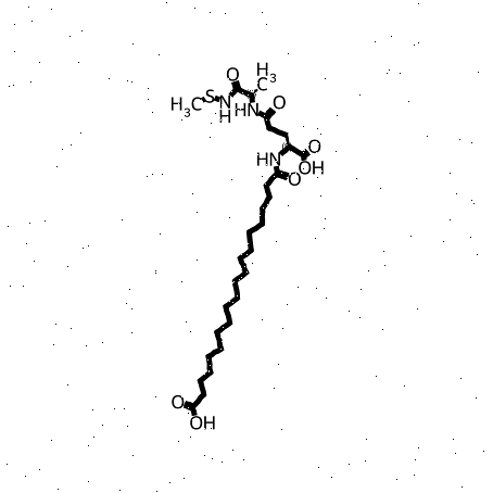 CSNC(=O)[C@H](C)NC(=O)CC[C@H](NC(=O)CCCCCCCCCCCCCCCCCCC(=O)O)C(=O)O